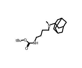 CN(CCCCNC(=O)OC(C)(C)C)C12CC3CC(CC(C3)C1)C2